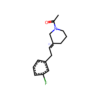 CC(=O)N1CCC/C(=C\Cc2cccc(F)c2)C1